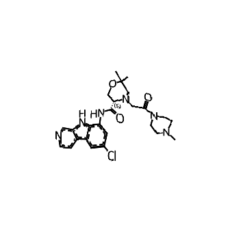 CN1CCN(C(=O)CN2CC(C)(C)OC[C@H]2C(=O)Nc2cc(Cl)cc3c2[nH]c2cnccc23)CC1